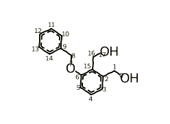 OCc1cccc(OCc2ccccc2)c1CO